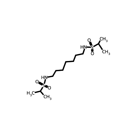 CC(C)S(=O)(=O)NCCCCCCCNS(=O)(=O)C(C)C